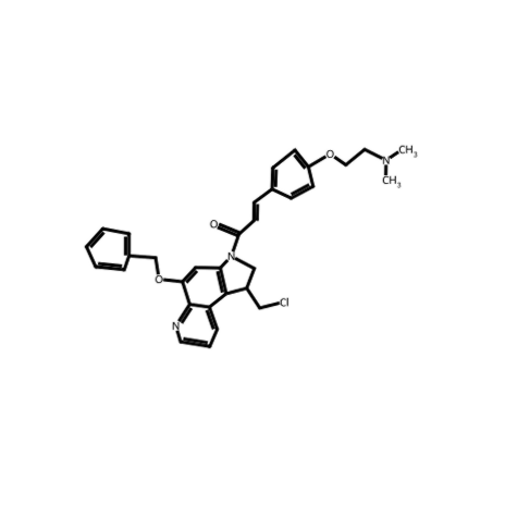 CN(C)CCOc1ccc(C=CC(=O)N2CC(CCl)c3c2cc(OCc2ccccc2)c2ncccc32)cc1